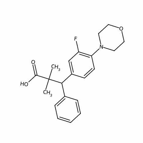 CC(C)(C(=O)O)C(c1ccccc1)c1ccc(N2CCOCC2)c(F)c1